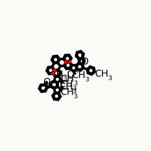 Cc1ccc(-c2cc3c(c4c2oc2ccccc24)-c2ccc(C(c4ccc5c(c4)C(C)(C)c4c6c(c7c(oc8ccccc87)c4-5)-c4ccccc4C6(C)C)c4c(-c5ccccc5)cccc4-c4ccccc4)cc2C3(C)C)cc1